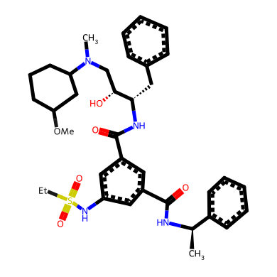 CCS(=O)(=O)Nc1cc(C(=O)N[C@@H](Cc2ccccc2)[C@H](O)CN(C)C2CCCC(OC)C2)cc(C(=O)N[C@H](C)c2ccccc2)c1